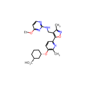 CCOc1ccnc(NCc2c(C)noc2-c2ccc(O[C@H]3CCC[C@H](C(=O)O)C3)c(C)n2)n1